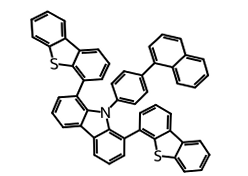 c1ccc2c(-c3ccc(-n4c5c(-c6cccc7c6sc6ccccc67)cccc5c5cccc(-c6cccc7c6sc6ccccc67)c54)cc3)cccc2c1